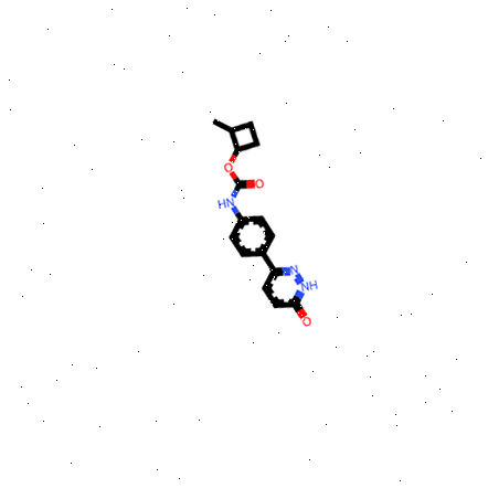 CC1CCC1OC(=O)Nc1ccc(-c2ccc(=O)[nH]n2)cc1